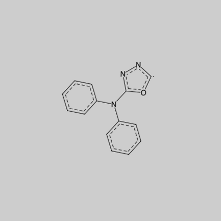 [c]1nnc(N(c2ccccc2)c2ccccc2)o1